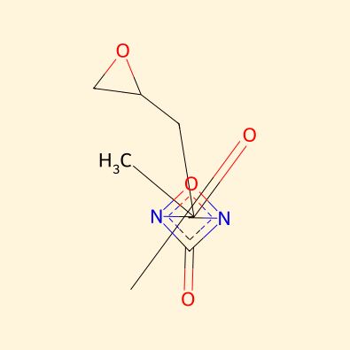 CC1(CC2CO2)C(=O)n2on1c2=O